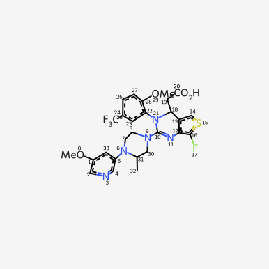 COc1cncc(N2CCN(C3=Nc4c(csc4F)C(CC(=O)O)N3c3cc(C(F)(F)F)ccc3OC)CC2C)c1